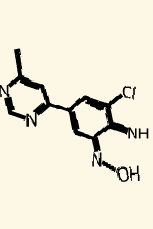 Cc1cc(C2=C/C(=N/O)C(=N)C(Cl)=C2)ncn1